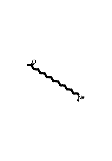 CC(=O)CCCCCCCCCCCCCCN(C)C